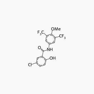 COc1c(C(F)(F)F)cc(NC(=O)c2cc(Cl)ccc2O)cc1C(F)(F)F